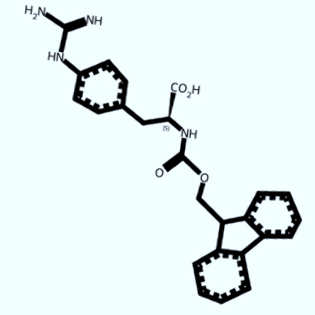 N=C(N)Nc1ccc(C[C@H](NC(=O)OCC2c3ccccc3-c3ccccc32)C(=O)O)cc1